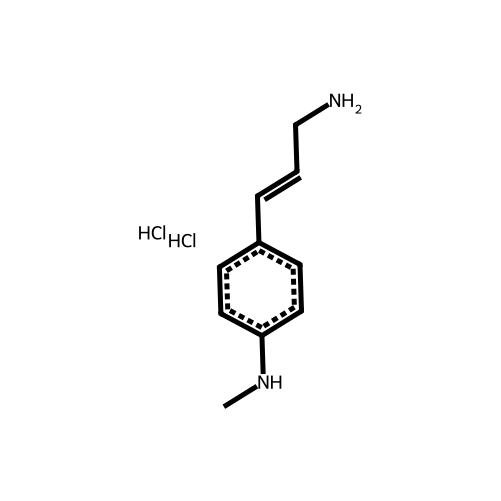 CNc1ccc(/C=C/CN)cc1.Cl.Cl